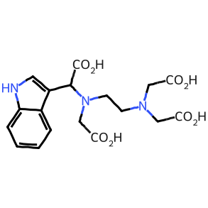 O=C(O)CN(CCN(CC(=O)O)C(C(=O)O)c1c[nH]c2ccccc12)CC(=O)O